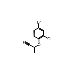 CC(C#N)Oc1ccc(Br)cc1Cl